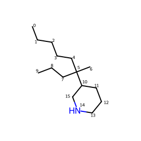 CCCCCC(C)(CCC)C1CCCNC1